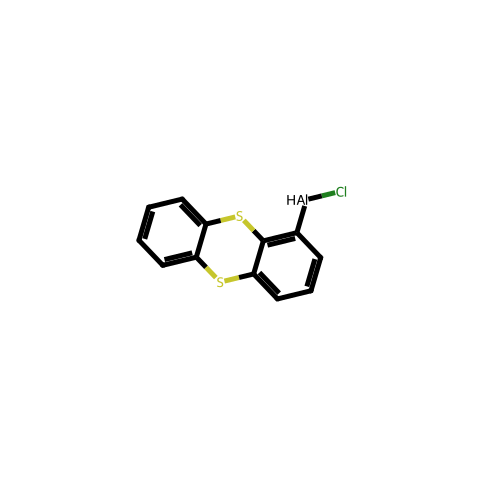 [Cl][AlH][c]1cccc2c1Sc1ccccc1S2